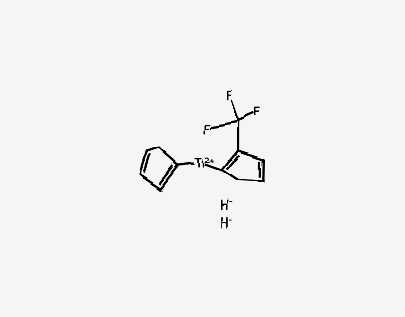 FC(F)(F)C1=[C]([Ti+2][C]2=CC=CC2)CC=C1.[H-].[H-]